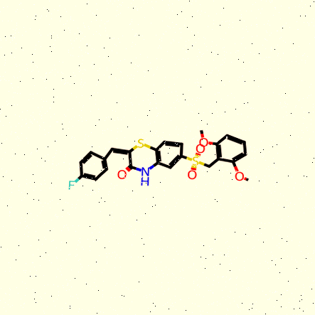 COc1cccc(OC)c1CS(=O)(=O)c1ccc2c(c1)NC(=O)/C(=C\c1ccc(F)cc1)S2